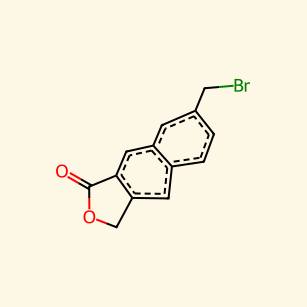 O=C1OCc2cc3ccc(CBr)cc3cc21